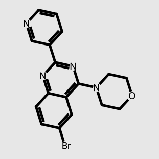 Brc1ccc2nc(-c3cccnc3)nc(N3CCOCC3)c2c1